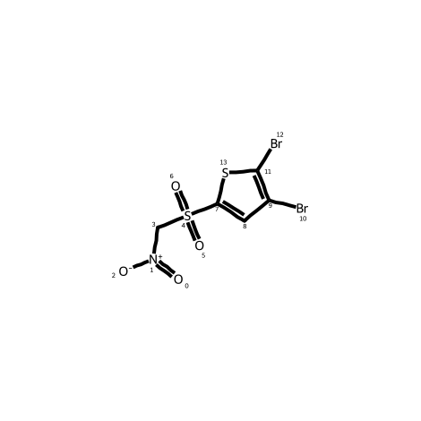 O=[N+]([O-])CS(=O)(=O)c1cc(Br)c(Br)s1